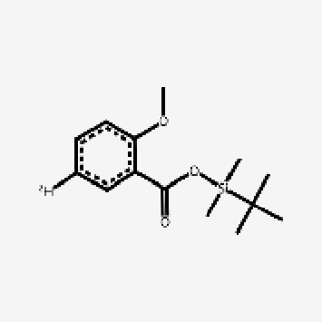 [2H]c1ccc(OC)c(C(=O)O[Si](C)(C)C(C)(C)C)c1